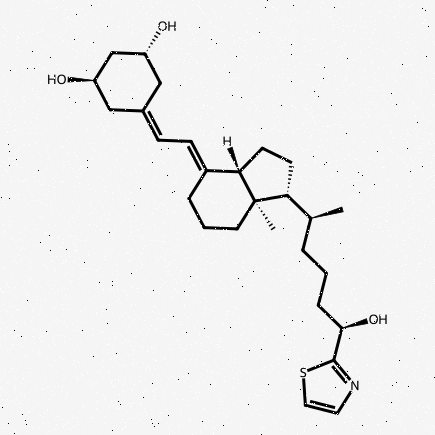 C[C@@H](CCC[C@@H](O)c1nccs1)[C@H]1CC[C@H]2/C(=C/C=C3C[C@@H](O)C[C@H](O)C3)CCC[C@]12C